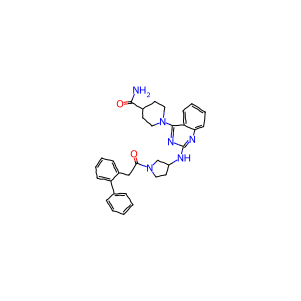 NC(=O)C1CCN(c2nc(NC3CCN(C(=O)Cc4ccccc4-c4ccccc4)C3)nc3ccccc23)CC1